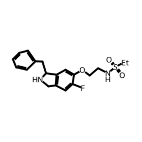 CCS(=O)(=O)NCCOc1cc2c(cc1F)CNC2Cc1ccccc1